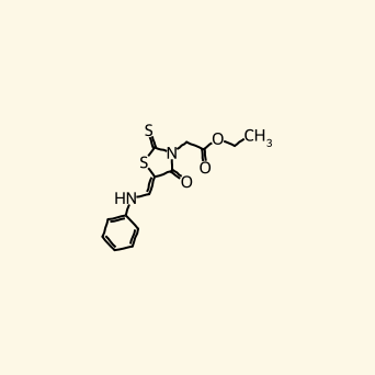 CCOC(=O)CN1C(=O)/C(=C/Nc2ccccc2)SC1=S